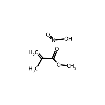 C=C(C)C(=O)OC.O=NO